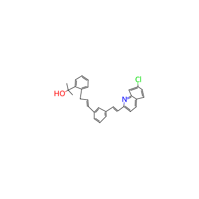 CC(C)(O)c1ccccc1CC=Cc1cccc(C=Cc2ccc3ccc(Cl)cc3n2)c1